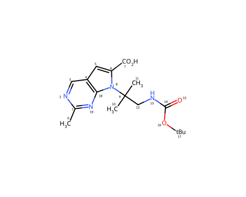 Cc1ncc2cc(C(=O)O)n(C(C)(C)CNC(=O)OC(C)(C)C)c2n1